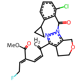 C=C(/C=C\C(=C/CF)C(=O)OC)c1nn(C(=O)c2c(Cl)cccc2C2CC2)c2c1CCOC2